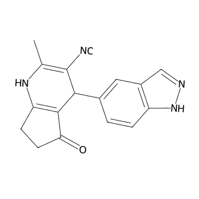 [C-]#[N+]C1=C(C)NC2=C(C(=O)CC2)C1c1ccc2[nH]ncc2c1